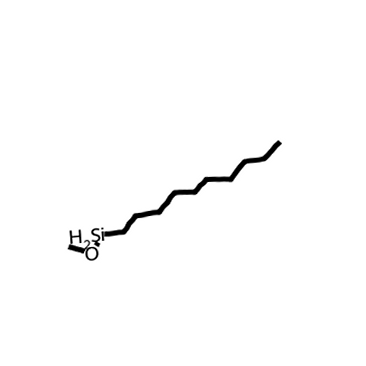 CCCCCCCCCC[SiH2]OC